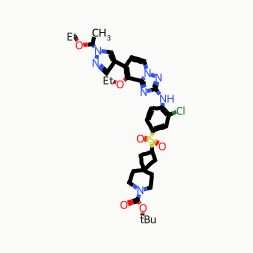 CCOc1c(-c2cnn(C(C)OCC)c2)ccn2nc(Nc3ccc(S(=O)(=O)C4CC5(CCN(C(=O)OC(C)(C)C)CC5)C4)cc3Cl)nc12